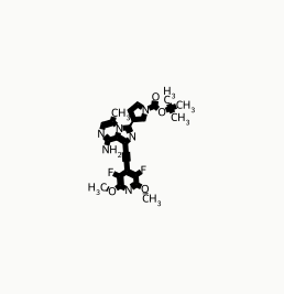 COc1nc(OC)c(F)c(C#Cc2nc([C@H]3CCN(C(=O)OC(C)(C)C)C3)n3c(C)cnc(N)c23)c1F